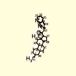 CC1CCC2C(CCC3C2CCC2(C)C(C(=O)Cn4cc5cccnc5n4)CCC32)C1